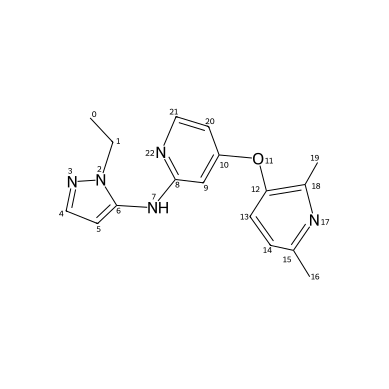 CCn1nccc1Nc1cc(Oc2ccc(C)nc2C)ccn1